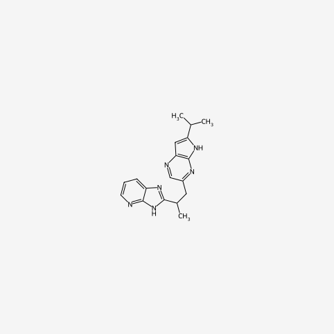 CC(C)c1cc2ncc(CC(C)c3nc4cccnc4[nH]3)nc2[nH]1